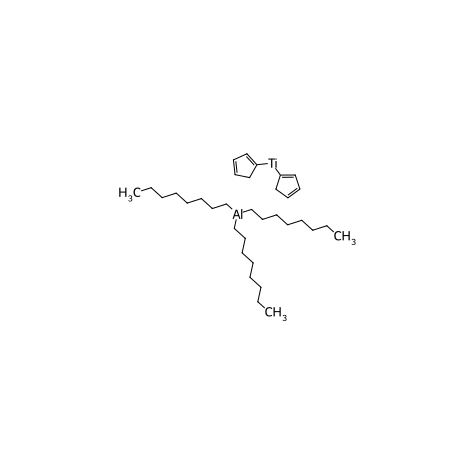 C1=CC[C]([Ti][C]2=CC=CC2)=C1.CCCCCCC[CH2][Al]([CH2]CCCCCCC)[CH2]CCCCCCC